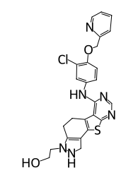 OCCN1NCC2=C1CCc1c2sc2ncnc(Nc3ccc(OCc4ccccn4)c(Cl)c3)c12